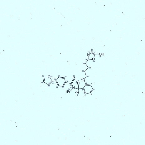 [2H]C([2H])(c1ccccc1OCCCCc1nnc(O)o1)N(C(=O)c1ccc(-c2ccco2)cc1)C(C)C